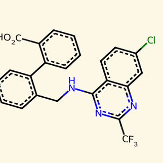 O=C(O)c1ccccc1-c1ccccc1CNc1nc(C(F)(F)F)nc2cc(Cl)ccc12